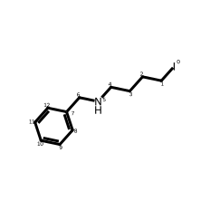 ICCCCNCc1ccccc1